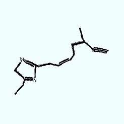 C#CC(C)C/C=C\CC1=NCC(C)=N1